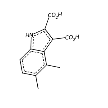 Cc1ccc2[nH]c(C(=O)O)c(C(=O)O)c2c1C